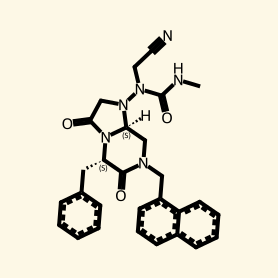 CNC(=O)N(CC#N)N1CC(=O)N2[C@@H](Cc3ccccc3)C(=O)N(Cc3cccc4ccccc34)C[C@@H]21